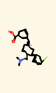 CN(C)CC1CC/C(=C\c2cccc(C(=O)O)c2)CC1c1cccc(F)c1